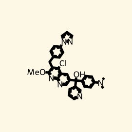 COc1nc2ncc(C(O)(c3ccc(N(C)C)cc3)c3cccnc3)cc2c(Cl)c1Cc1ccc(-n2cccn2)cc1